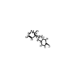 Cc1cnc(C)c(NCC2CCC(C)CC2)c1